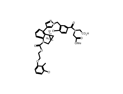 COC(=O)CN(CC(=O)O)C(=O)c1ccc(Cl)c(Cn2cc(-c3cccc4c3[C@H]3C[C@H]3CN4C(=O)OCCOc3cccc(Cl)c3C)cn2)c1